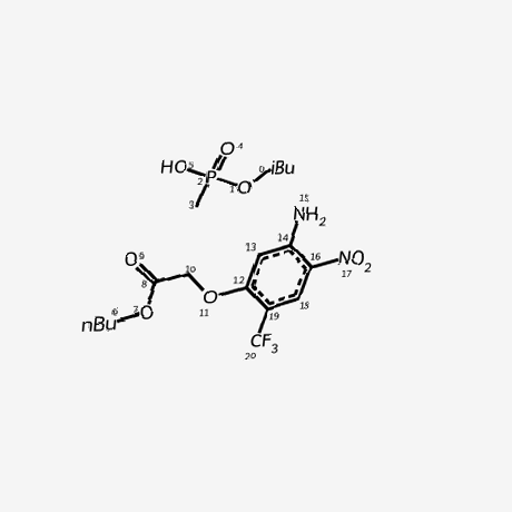 CCC(C)OP(C)(=O)O.CCCCOC(=O)COc1cc(N)c([N+](=O)[O-])cc1C(F)(F)F